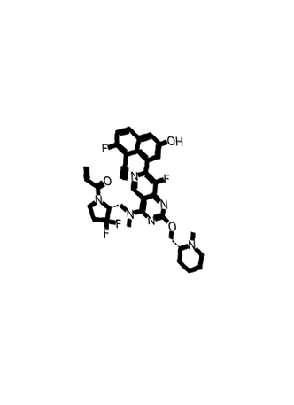 C#Cc1c(F)ccc2cc(O)cc(-c3ncc4c(N(C)C[C@H]5N(C(=O)C=C)CCC5(F)F)nc(OC[C@H]5CCCCN5C)nc4c3F)c12